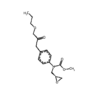 CCCOCC(=O)Cc1ccc(N(C[C@H]2CO2)C(=O)OC)cc1